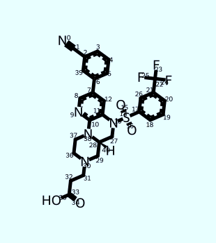 N#Cc1cccc(-c2cnc3c(c2)N(S(=O)(=O)c2cccc(C(F)(F)F)c2)C[C@@H]2CN(CCC(=O)O)CCN32)c1